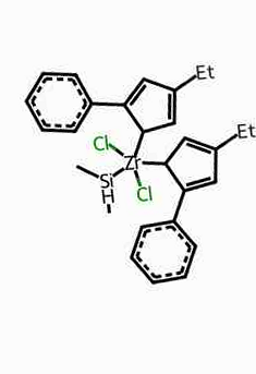 CCC1=C[CH]([Zr]([Cl])([Cl])([CH]2C=C(CC)C=C2c2ccccc2)[SiH](C)C)C(c2ccccc2)=C1